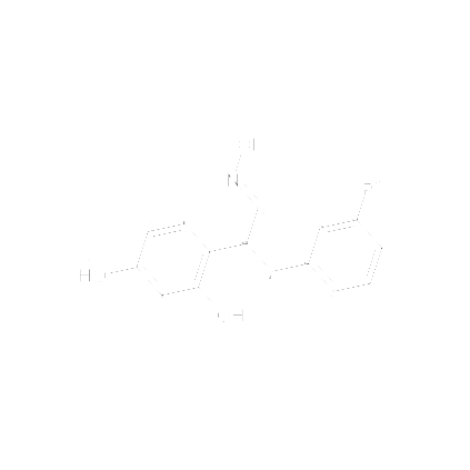 ON=CC(Cc1cccc(Br)c1)c1ccc(O)cc1O